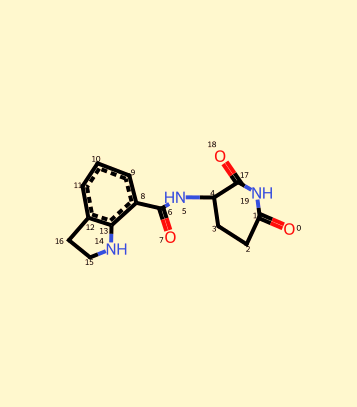 O=C1CCC(NC(=O)c2cccc3c2NCC3)C(=O)N1